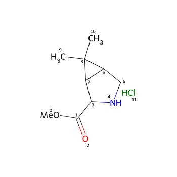 COC(=O)C1NCC2C1C2(C)C.Cl